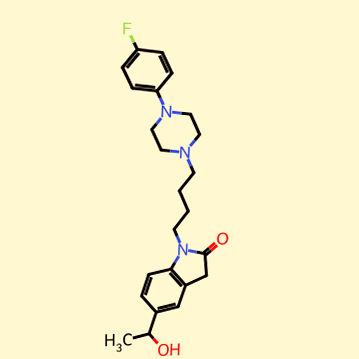 CC(O)c1ccc2c(c1)CC(=O)N2CCCCN1CCN(c2ccc(F)cc2)CC1